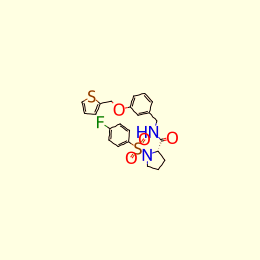 O=C(NCc1cccc(OCc2cccs2)c1)[C@@H]1CCCN1S(=O)(=O)c1ccc(F)cc1